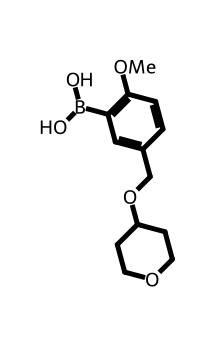 COc1ccc(COC2CCOCC2)cc1B(O)O